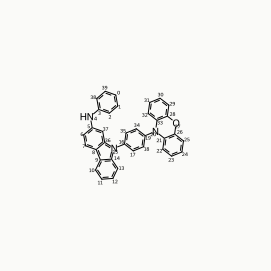 c1ccc(Nc2ccc3c4ccccc4n(-c4ccc(N5c6ccccc6Oc6ccccc65)cc4)c3c2)cc1